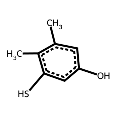 Cc1cc(O)cc(S)c1C